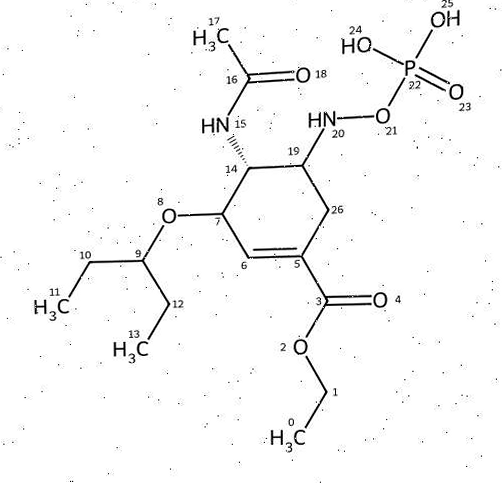 CCOC(=O)C1=CC(OC(CC)CC)[C@H](NC(C)=O)C(NOP(=O)(O)O)C1